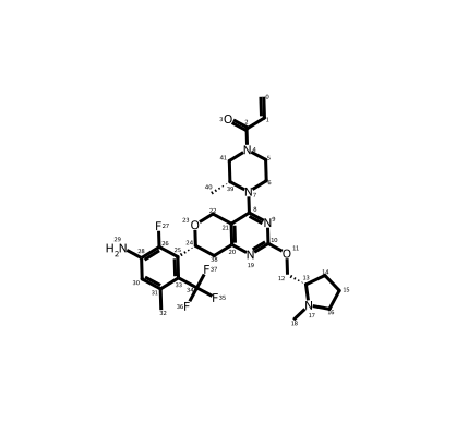 C=CC(=O)N1CCN(c2nc(OC[C@@H]3CCCN3C)nc3c2CO[C@@H](c2c(F)c(N)cc(C)c2C(F)(F)F)C3)[C@H](C)C1